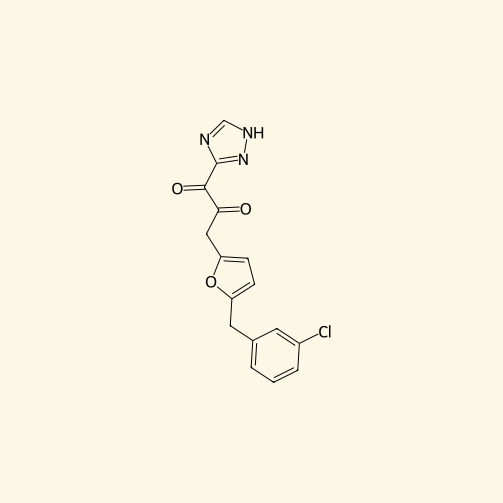 O=C(Cc1ccc(Cc2cccc(Cl)c2)o1)C(=O)c1nc[nH]n1